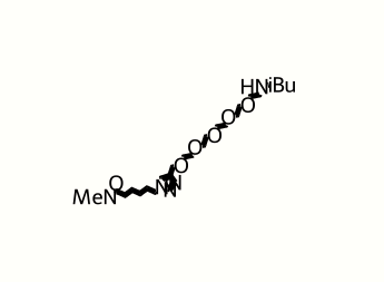 CCC(C)NCCOCCOCCOCCOCCOCc1cn(CCCCCC(=O)NC)nn1